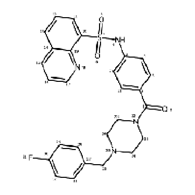 O=C(c1ccc(NS(=O)(=O)c2cccc3cccnc23)cc1)N1CCN(Cc2ccc(F)cc2)CC1